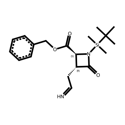 CC(C)(C)[Si](C)(C)N1C(=O)[C@H](CC=N)[C@H]1C(=O)OCc1ccccc1